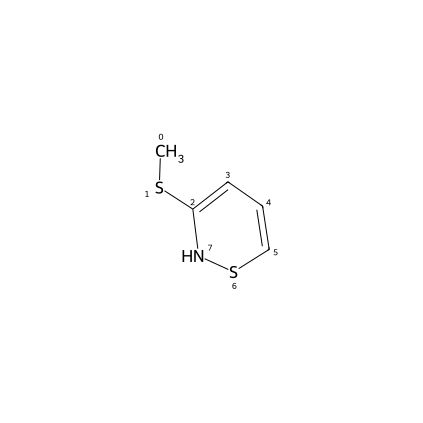 CSC1=CC=CSN1